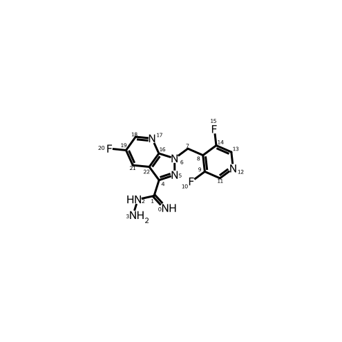 N=C(NN)c1nn(Cc2c(F)cncc2F)c2ncc(F)cc12